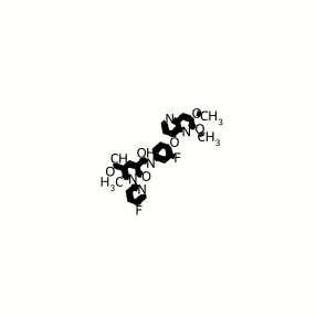 COc1cc2nccc(Oc3ccc(NC(=O)c4cc(C(C)=O)c(C)n(-c5ccc(F)cn5)c4=O)cc3F)c2nc1OC